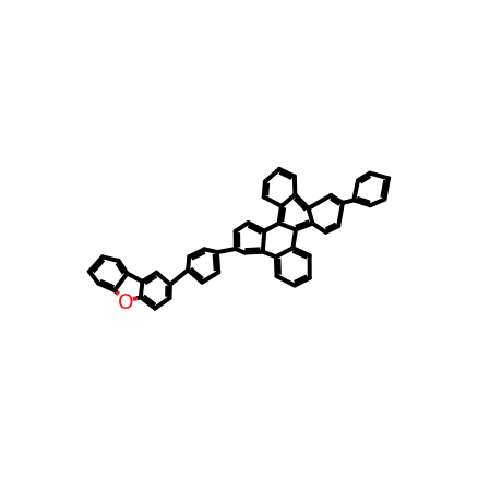 c1ccc(-c2ccc3c(c2)c2ccccc2c2c4ccc(-c5ccc(-c6ccc7oc8ccccc8c7c6)cc5)cc4c4ccccc4c32)cc1